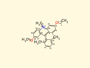 CCOc1ccc2c(-c3c(C)cccc3C)c3cc(OC)ccc3[n+](C)c2c1